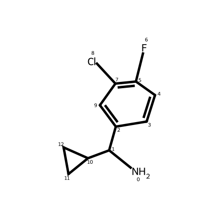 NC(c1ccc(F)c(Cl)c1)C1CC1